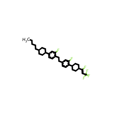 CCCCCC1CCC(c2ccc(CCc3ccc(C4CCC(/C(F)=C/C(F)(F)F)CC4)c(F)c3)c(F)c2)CC1